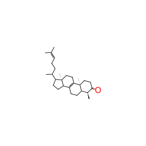 CC(C)=CCCC(C)C1CCC2C3=C(CC[C@@]21C)[C@@]1(C)CCC(=O)[C@@H](C)C1CC3